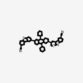 N#Cc1ccc2sc3ccc(-c4ccc5c(-c6ccccc6)c6cc(-c7ccc8sc9ccc(C#N)cc9c8c7)ccc6c(-c6ccccc6)c5c4)cc3c2c1